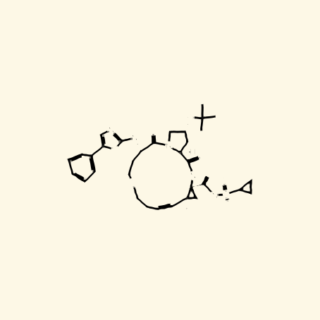 CC(C)(C)O[C@@H]1C[C@H]2C(=O)N[C@]3(C(=O)NS(=O)(=O)C4CC4)C[C@H]3/C=C\CCCCC[C@H](Nc3ncc(-c4ccccc4)s3)C(=O)N2C1